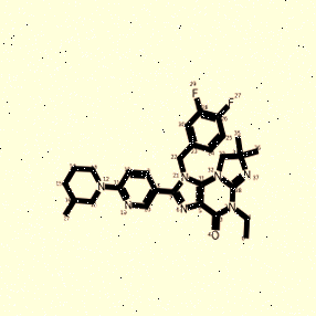 CCN1C(=O)c2nc(-c3ccc(N4CCCC(C)C4)nc3)n(Cc3ccc(F)c(F)c3)c2N2CC(C)(C)N=C12